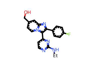 CCNc1nccc(-c2c(-c3ccc(F)cc3)nc3cc(CO)ccn23)n1